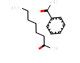 CC(=O)c1ccccc1.CCCCCCC(C)=O